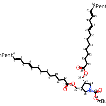 CCCCCC=CCC=CCCCCCCCC(=O)OC[C@@H]1CN(C(=O)OC(C)(C)C)C[C@H]1COC(=O)CCCCCCCC=CCC=CCCCCC